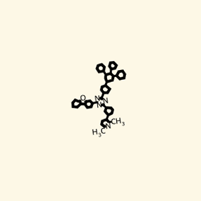 Cc1ccc(-c2cccc(-c3nc(-c4ccc(-c5cc(-c6ccccc6)c(-c6ccccc6)c(-c6ccccc6)c5)cc4)nc(-c4ccc5c(c4)oc4ccccc45)n3)c2)c(C)n1